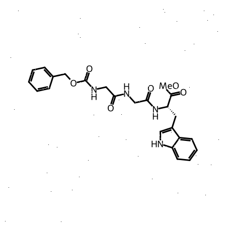 COC(=O)[C@H](Cc1c[nH]c2ccccc12)NC(=O)CNC(=O)CNC(=O)OCc1ccccc1